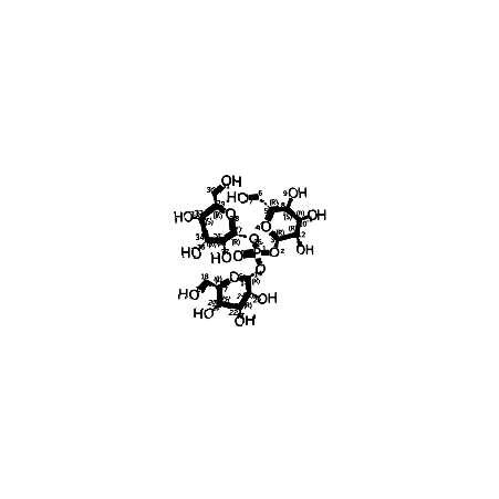 O=P(O[C@H]1O[C@H](CO)[C@@H](O)[C@@H](O)[C@H]1O)(O[C@H]1O[C@H](CO)[C@@H](O)[C@@H](O)[C@H]1O)O[C@H]1O[C@H](CO)[C@@H](O)[C@@H](O)[C@H]1O